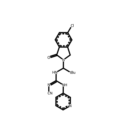 CC(C)(C)C(NC(=NC#N)Nc1cccnc1)N1Cc2cc(Cl)ccc2C1=O